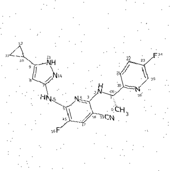 C[C@H](Nc1nc(Nc2cc(C3CC3)[nH]n2)c(F)cc1C#N)c1ccc(F)cn1